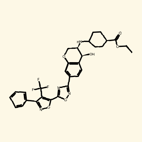 CCOC(=O)C1CCC(N[C@@H]2COc3cc(-c4noc(-c5onc(-c6ccccc6)c5C(F)(F)F)n4)ccc3[C@@H]2O)CC1